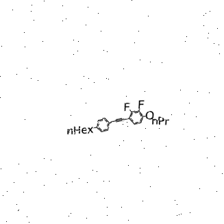 CCCCCCc1ccc(C#Cc2ccc(OCCC)c(F)c2F)cc1